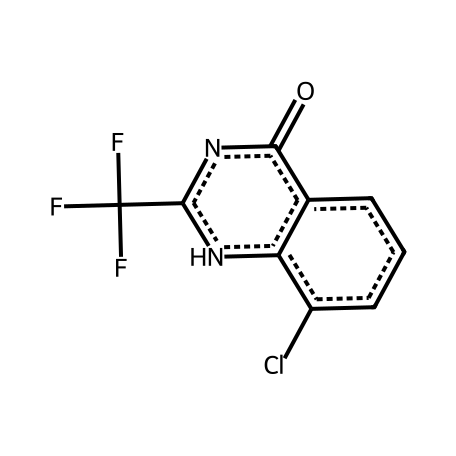 O=c1nc(C(F)(F)F)[nH]c2c(Cl)cccc12